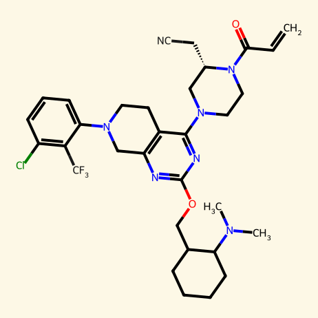 C=CC(=O)N1CCN(c2nc(OCC3CCCCC3N(C)C)nc3c2CCN(c2cccc(Cl)c2C(F)(F)F)C3)C[C@@H]1CC#N